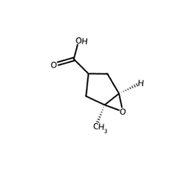 C[C@]12CC(C(=O)O)C[C@H]1O2